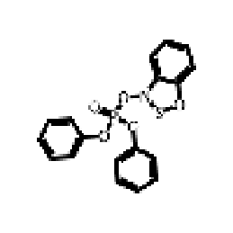 O=P(Oc1ccccc1)(Oc1ccccc1)ON1SOc2ccccc21